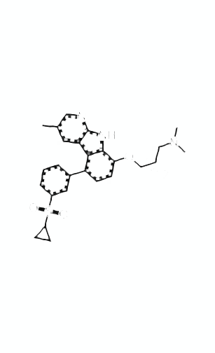 Cc1cnc2[nH]c3c(OC[C@@H](C)CN(C)C)ccc(-c4cccc(S(=O)(=O)C5CC5)c4)c3c2c1